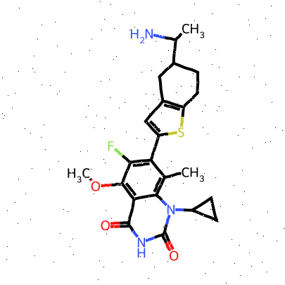 COc1c(F)c(-c2cc3c(s2)CCC(C(C)N)C3)c(C)c2c1c(=O)[nH]c(=O)n2C1CC1